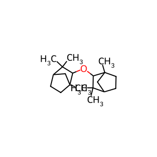 CC12CCC(C1)C(C)(C)C2OC1C2(C)CCC(C2)C1(C)C